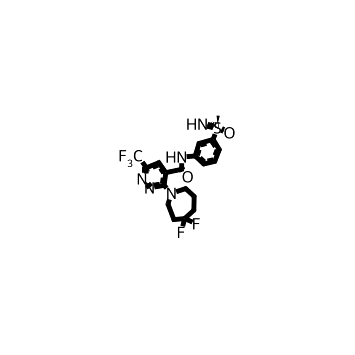 C[S@@](=N)(=O)c1cccc(NC(=O)c2cc(C(F)(F)F)nnc2N2CCCC(F)(F)CC2)c1